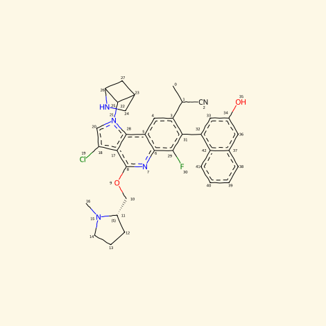 CC(C#N)c1cc2c(nc(OC[C@@H]3CCCN3C)c3c(Cl)cn(C4C5CNC4C5)c32)c(F)c1-c1cc(O)cc2ccccc12